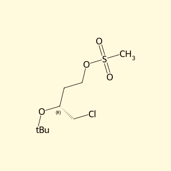 CC(C)(C)O[C@@H](CCl)CCOS(C)(=O)=O